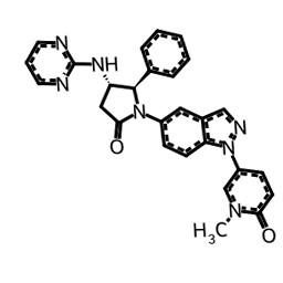 Cn1cc(-n2ncc3cc(N4C(=O)C[C@H](Nc5ncccn5)[C@H]4c4ccccc4)ccc32)ccc1=O